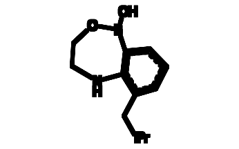 CC(C)Cc1cccc2c1NCCOB2O